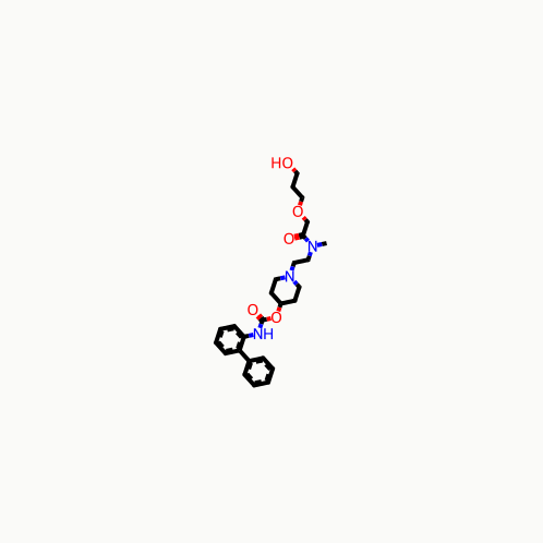 CN(CCN1CCC(OC(=O)Nc2ccccc2-c2ccccc2)CC1)C(=O)COCCCO